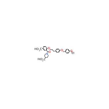 CCOc1ccc(COc2ccc(CCCOc3ccc(C(=O)O)cc3C(=O)N3CCC(C(=O)O)CC3)cc2)cc1